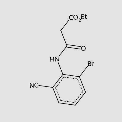 CCOC(=O)CC(=O)Nc1c(Br)cccc1C#N